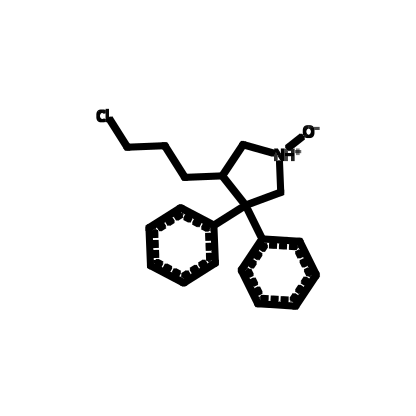 [O-][NH+]1CC(CCCCl)C(c2ccccc2)(c2ccccc2)C1